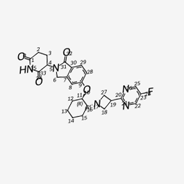 O=C1CCC(N2Cc3cc(O[C@@H]4CCCC[C@H]4N4CC(c5ncc(F)cn5)C4)ccc3C2=O)C(=O)N1